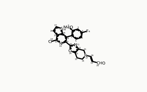 COc1cc(F)ccc1-c1c(-c2nc3c(o2)CCN(C=CC=O)C3)nc(Cl)c2ccsc12